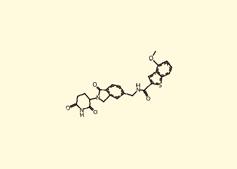 COc1cccc2sc(C(=O)NCc3ccc4c(c3)CN(C3CCC(=O)NC3=O)C4=O)cc12